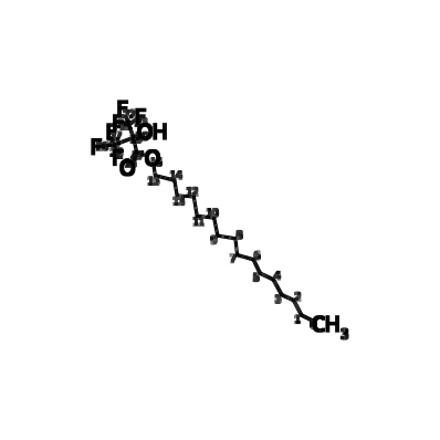 CCCCCCCCCCCCCCCCOC(=O)C(O)(C(F)(F)F)C(F)(F)F